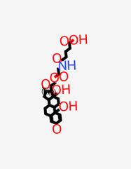 C[C@@H]1CC2C3CCC4=CC(=O)C=CC4(C)C3C(O)CC2(C)[C@@]1(O)C(=O)COC(=O)CNC(=O)CCCC(=O)O